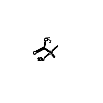 CC(C)(C)[Si](C)(C)C(=O)C(F)(F)F